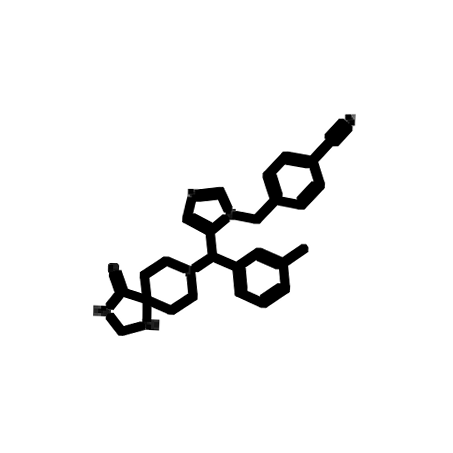 Cc1cccc(C(c2cncn2Cc2ccc(C#N)cc2)N2CCC3(CC2)NCNC3=O)c1